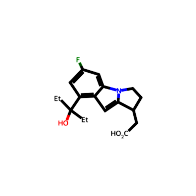 CCC(O)(CC)c1cc(F)cc2c1cc1n2CCC1CC(=O)O